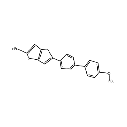 CCCCOc1ccc(-c2ccc(-c3cc4sc(CCC)cc4s3)cc2)cc1